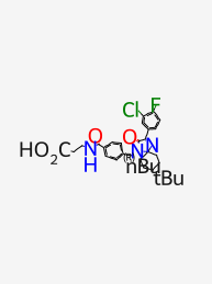 CCCC[C@H](c1ccc(C(=O)NCCC(=O)O)cc1)N1C(=O)C(c2ccc(F)c(Cl)c2)=NC12CCC(C(C)(C)C)CC2